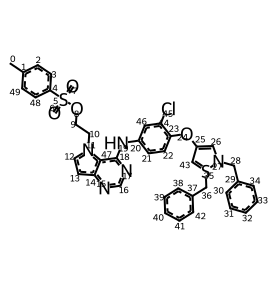 Cc1ccc(S(=O)(=O)OCCn2ccc3ncnc(Nc4ccc(OC5=CN(Cc6ccccc6)S(Cc6ccccc6)=C5)c(Cl)c4)c32)cc1